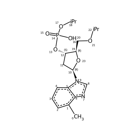 Cc1cccc2c1ncn2[C@H]1C[C@H](OP(=O)(O)OC(C)C)[C@@H](COC(C)C)O1